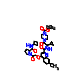 CCCCOC(=O)N1CCN(C(=O)[C@@H](NC(=O)c2cc(OCC(=O)N3CCC[C@H]3C(=O)NC3CCC3)c3ccc(C)cc3n2)C2CC2)CC1